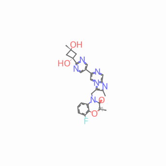 Cc1nc2cnc(-c3cnc([C@]4(O)C[C@@](C)(O)C4)nc3)cn2c1CN1C(=O)[C@@H](C)Oc2c(F)cccc21